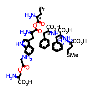 CC(C)C[C@H](N)C(=O)OC(=O)[C@@H](N)Cc1c[nH]c2ccccc12.CSCC[C@H](N)C(=O)O.NCC(=O)OC[C@H](N)C(=O)O.N[C@@H](Cc1ccccc1)C(=O)O.N[C@@H](Cc1ccccc1)C(=O)O